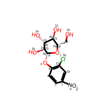 O=[N+]([O-])c1ccc(O[C@H]2O[C@@H](CO)[C@H](O)[C@@H](O)[C@@H]2O)c(Cl)c1